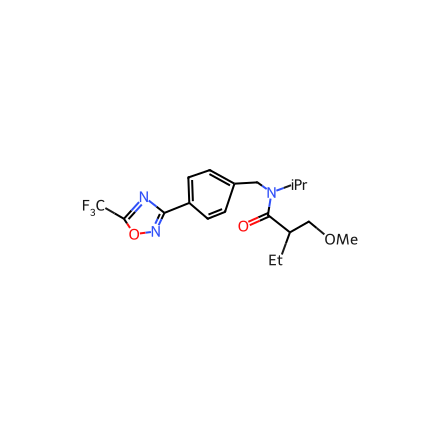 CCC(COC)C(=O)N(Cc1ccc(-c2noc(C(F)(F)F)n2)cc1)C(C)C